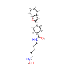 O=C(NCCCCCNO)c1ccc(-c2cc3ccccc3o2)cc1